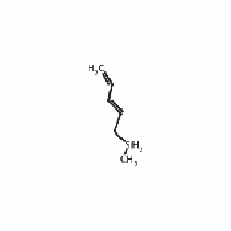 C=CC=CC[SiH2]C